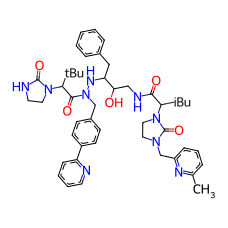 CCC(C)C(C(=O)NCC(O)C(Cc1ccccc1)NN(Cc1ccc(-c2ccccn2)cc1)C(=O)C(N1CCNC1=O)C(C)(C)C)N1CCN(Cc2cccc(C)n2)C1=O